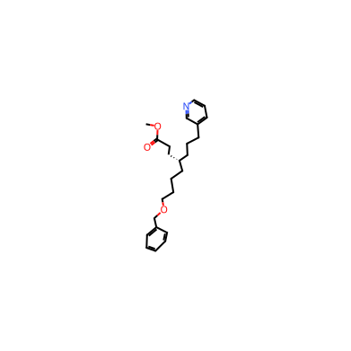 COC(=O)CC[C@@H](CCCCOCc1ccccc1)CCCc1cccnc1